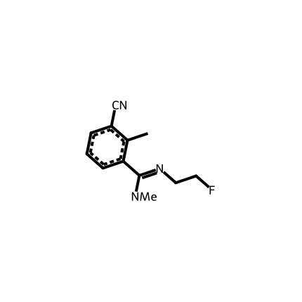 CN/C(=N\CCF)c1cccc(C#N)c1C